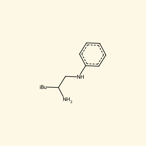 CCC(C)C(N)CNc1ccccc1